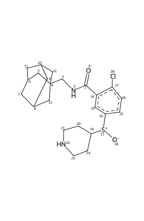 O=C(NCC12CC3CC(CC(C3)C1)C2)c1cc([S+]([O-])C2CCNCC2)ccc1Cl